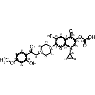 COc1ccc(C(=O)CN2CCN(c3cc4c(cc3F)c(=O)c(OC(=O)O)cn4C3CC3)CC2)c(O)c1